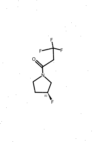 O=C(CC(F)(F)F)N1CC[C@H](F)C1